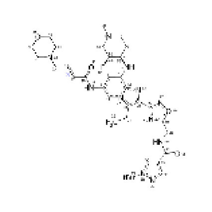 CN1CC[C@@H](Nc2cc(NC(=O)/C=C/CN3CCOCC3)cn3c(CC(F)(F)F)c(-c4noc(CNC(=O)c5cnn(C(C)(C)C)c5)n4)nc23)[C@@H](F)C1